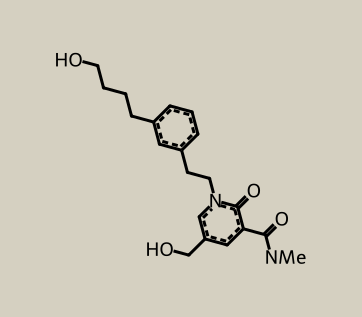 CNC(=O)c1cc(CO)cn(CCc2cccc(CCCCO)c2)c1=O